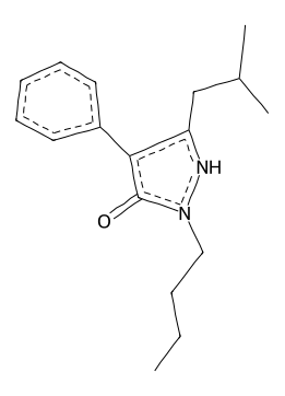 CCCCn1[nH]c(CC(C)C)c(-c2ccccc2)c1=O